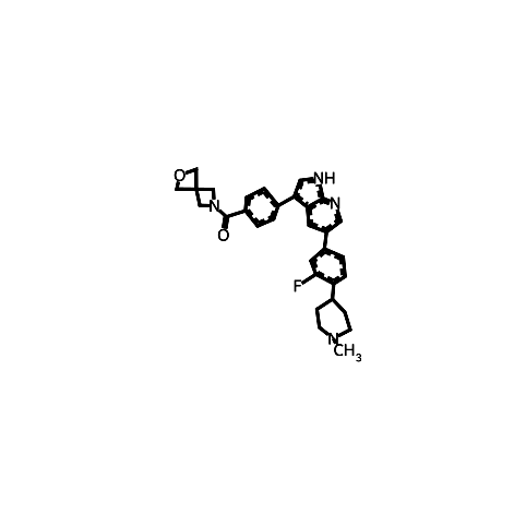 CN1CCC(c2ccc(-c3cnc4[nH]cc(-c5ccc(C(=O)N6CC7(COC7)C6)cc5)c4c3)cc2F)CC1